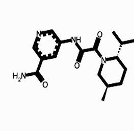 CC(C)[C@@H]1CC[C@@H](C)CN1C(=O)C(=O)Nc1cncc(C(N)=O)c1